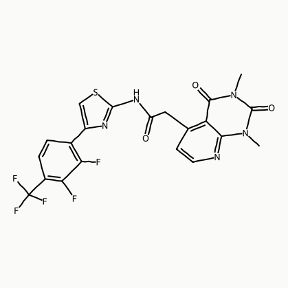 Cn1c(=O)c2c(CC(=O)Nc3nc(-c4ccc(C(F)(F)F)c(F)c4F)cs3)ccnc2n(C)c1=O